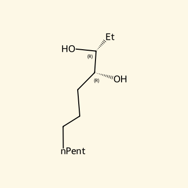 CCCCCCCC[C@@H](O)[C@H](O)CC